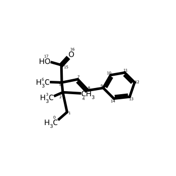 CCC(C)(C)C(C)(C=Cc1ccccc1)C(=O)O